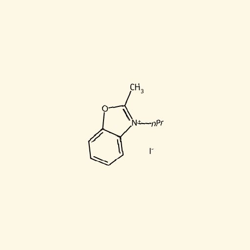 CCC[n+]1c(C)oc2ccccc21.[I-]